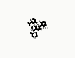 C/N=C(\c1cc(F)c(-c2c(O)cccc2F)nc1N(C=O)c1c(C)ccnc1C(C)C)N1CCN(C)CC1C